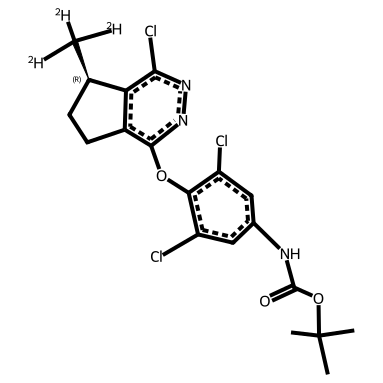 [2H]C([2H])([2H])[C@@H]1CCc2c(Oc3c(Cl)cc(NC(=O)OC(C)(C)C)cc3Cl)nnc(Cl)c21